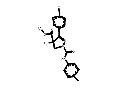 COC(=O)C1(C)CN(C(=O)Nc2ccc(I)cc2)N=C1c1ccc(Cl)cc1